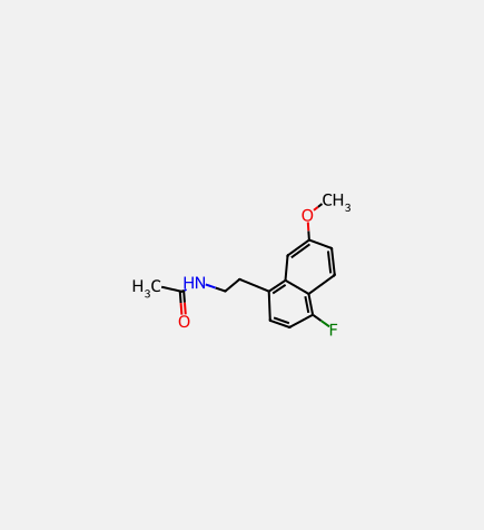 COc1ccc2c(F)ccc(CCNC(C)=O)c2c1